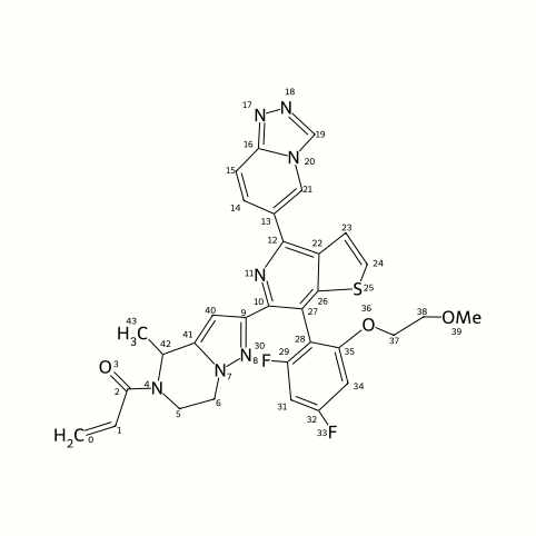 C=CC(=O)N1CCn2nc(-c3nc(-c4ccc5nncn5c4)c4ccsc4c3-c3c(F)cc(F)cc3OCCOC)cc2C1C